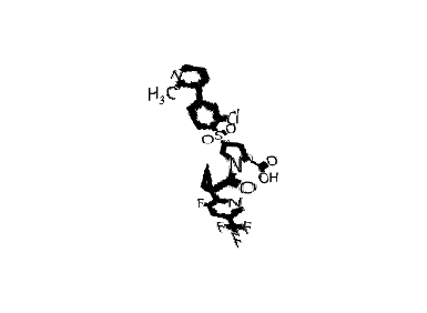 Cc1ncccc1-c1ccc(S(=O)(=O)[C@@H]2C[C@@H](C(=O)O)N(C(=O)C3(c4ncc(C(F)(F)F)cc4F)CC3)C2)c(Cl)c1